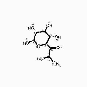 CC(C)C(=O)[C@H]1O[C@@H](O)[C@H](O)[C@@H](O)[C@@H]1O